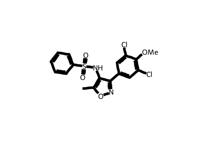 COc1c(Cl)cc(-c2noc(C)c2NS(=O)(=O)c2ccccc2)cc1Cl